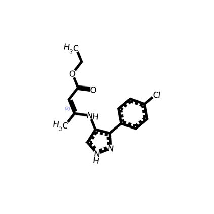 CCOC(=O)/C=C(/C)Nc1c[nH]nc1-c1ccc(Cl)cc1